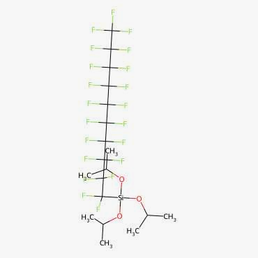 CC(C)O[Si](OC(C)C)(OC(C)C)C(F)(F)C(F)(F)C(F)(F)C(F)(F)C(F)(F)C(F)(F)C(F)(F)C(F)(F)C(F)(F)C(F)(F)F